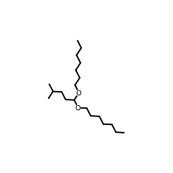 CCCCCCCOC(CCC(C)C)OCCCCCCC